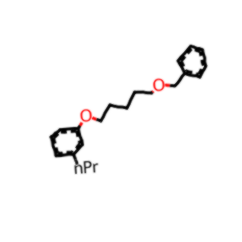 CCCc1cccc(OCCCCCOCc2ccccc2)c1